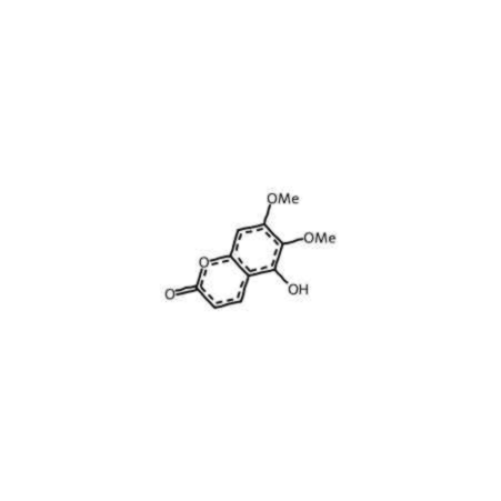 COc1cc2oc(=O)ccc2c(O)c1OC